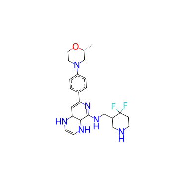 C[C@@H]1CN(c2ccc(C3=CC4NC=CNC4C(NCC4CNCCC4(F)F)=N3)cc2)CCO1